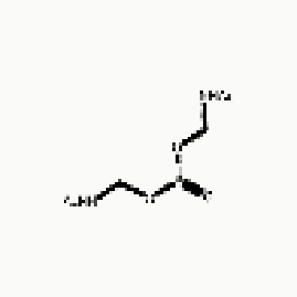 CC(=O)NCO[PH](=O)OCNC(C)=O